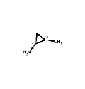 C[C@@H]1C[C@@H]1N